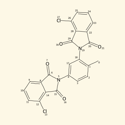 Cc1ccc(N2C(=O)c3cccc(Cl)c3C2=O)cc1N1C(=O)c2cccc(Cl)c2C1=O